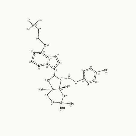 CC(C)(C)[Si]1(C(C)(C)C)OC[C@H]2OC(n3cnc4c(OCC[Si](C)(C)C)ncnc43)[C@H](OCc3ccc(Br)cc3)[C@@H]2O1